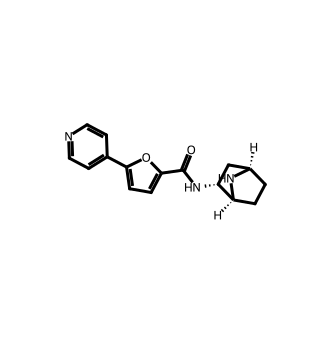 O=C(N[C@@H]1C[C@H]2CC[C@@H]1N2)c1ccc(-c2ccncc2)o1